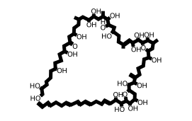 C=C/C=C/CC/C=C/C=C/C=C/CC/C=C/C(O)C(O)C1OC(C(O)C(O)C(=C)CCCCC(O)C2CC(C)C(O)C(C(O)C(O)/C=C(\C)CCC(O)CC(O)C(O)C(C)CC(O)C(O)CC(C)CCC(O)CC(=O)CC(O)CCCC(O)CCCCC(O)CO)O2)CC(O)C1O